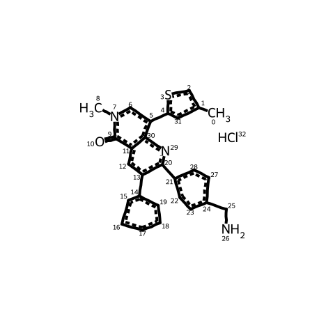 Cc1csc(-c2cn(C)c(=O)c3cc(-c4ccccc4)c(-c4ccc(CN)cc4)nc23)c1.Cl